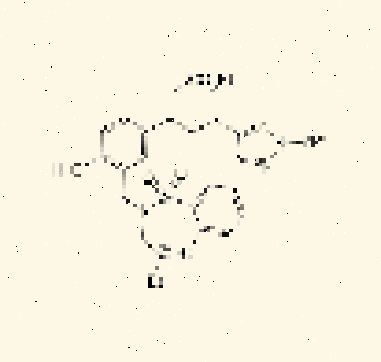 CCCn1cc(CCC(CC(=O)OCC)c2ccc(C)c(CN3C[C@@H](CC)Oc4ccccc4S3(=O)=O)c2)nn1